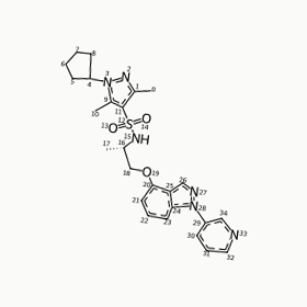 Cc1nn(C2CCCC2)c(C)c1S(=O)(=O)N[C@@H](C)COc1cccc2c1cnn2-c1cccnc1